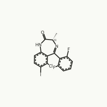 C[C@@H]1N=C(c2c(F)cccc2F)c2c(ccc(I)c2Cl)NC1=O